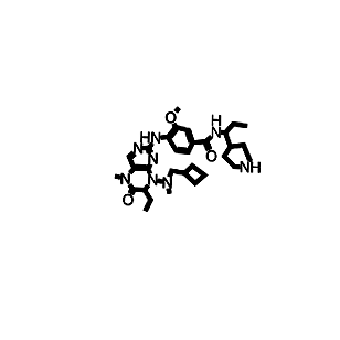 CCC(NC(=O)c1ccc(Nc2ncc3c(n2)N(N(C)CC2CCC2)C(CC)C(=O)N3C)c(OC)c1)C1CCNCC1